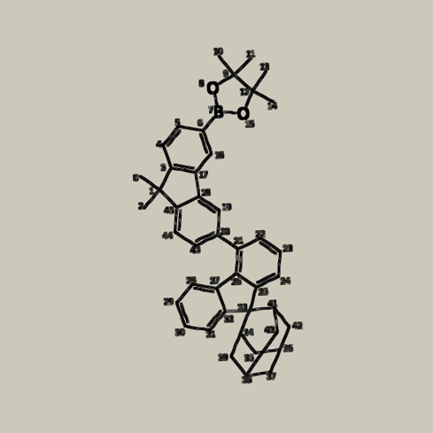 CC1(C)c2ccc(B3OC(C)(C)C(C)(C)O3)cc2-c2cc(-c3cccc4c3-c3ccccc3C43C4CC5CC(C4)CC3C5)ccc21